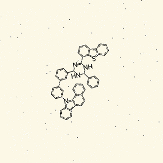 c1ccc(C2NC(c3cccc4c3sc3ccccc34)=NC(c3cccc(-c4cccc(-n5c6ccccc6c6ccc7ccccc7c65)c4)c3)N2)cc1